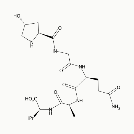 CC(C)[C@H](NC(=O)[C@H](C)NC(=O)[C@H](CCC(N)=O)NC(=O)CNC(=O)[C@@H]1C[C@@H](O)CN1)C(=O)O